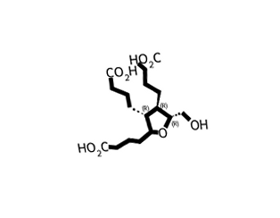 O=C(O)CCCC1O[C@@H](CO)[C@H](CCCC(=O)O)[C@H]1CCCC(=O)O